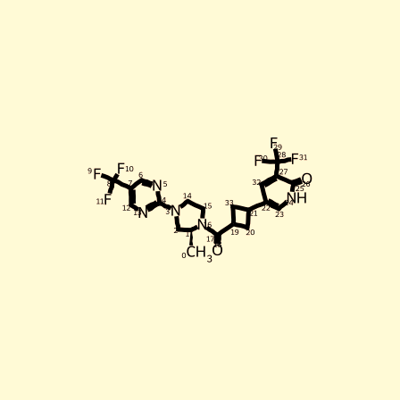 C[C@H]1CN(c2ncc(C(F)(F)F)cn2)CCN1C(=O)C1CC(c2c[nH]c(=O)c(C(F)(F)F)c2)C1